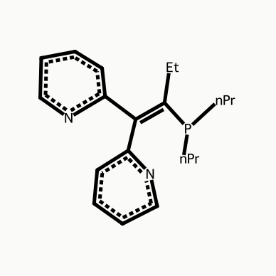 CCCP(CCC)C(CC)=C(c1ccccn1)c1ccccn1